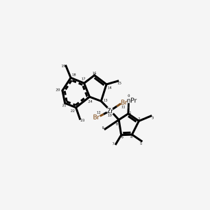 CCCC1=C(C)C(C)=C(C)[C]1(C)[Zr]([Br])([Br])[CH]1C(C)=Cc2c(C)ccc(C)c21